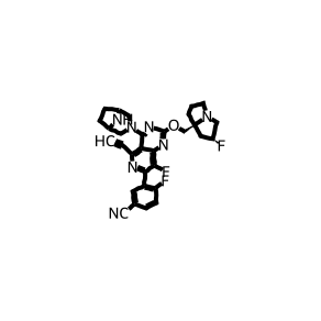 C#Cc1nc(-c2cc(C#N)ccc2F)c(F)c2nc(OC[C@@]34CCCN3C[C@H](F)C4)nc(N3CC4CCC(C3)N4)c12